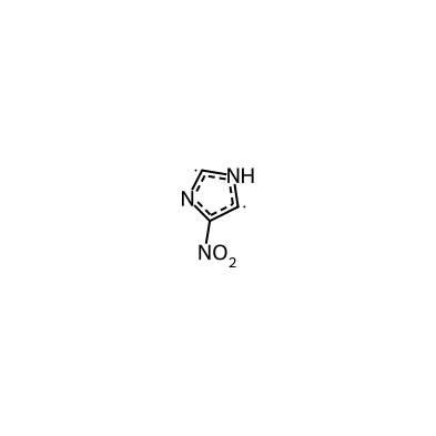 O=[N+]([O-])c1[c][nH][c]n1